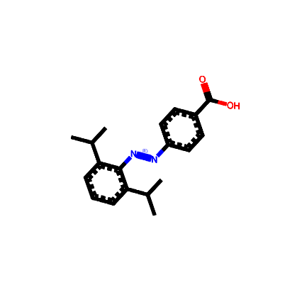 CC(C)c1cccc(C(C)C)c1/N=N/c1ccc(C(=O)O)cc1